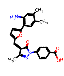 CC1=NN(c2ccc(C(=O)O)cc2)C(=O)/C1=C\c1ccc(-c2cc(C)c(C)cc2N)o1